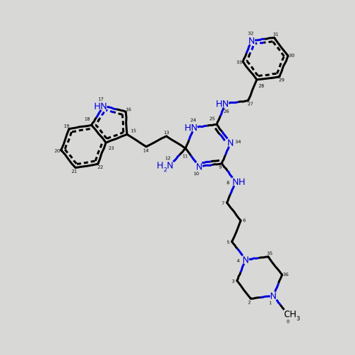 CN1CCN(CCCNC2=NC(N)(CCc3c[nH]c4ccccc34)NC(NCc3cccnc3)=N2)CC1